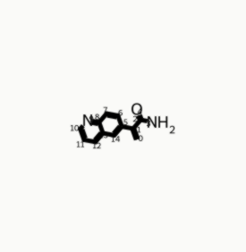 C=C(C(N)=O)c1ccc2ncccc2c1